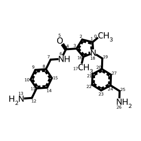 Cc1cc(C(=O)NCc2ccc(CN)cc2)c(C)n1Cc1cccc(CN)c1